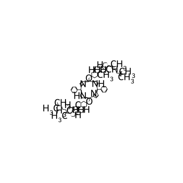 CC(C)CCC[C@@H](C)[C@H]1CC[C@H]2[C@@H]3CC[C@H]4C[C@@H](Oc5c6nc(c(-c7ccccc7)c7ccc([nH]7)c(O[C@H]7CC[C@@]8(C)[C@@H](CC[C@@H]9[C@@H]8CC[C@]8(C)[C@@H]([C@H](C)CCCC(C)C)CC[C@@H]98)C7)c7nc(c(-c8ccccc8)c8ccc5[nH]8)C=C7)C=C6)CC[C@]4(C)[C@H]3CC[C@]12C